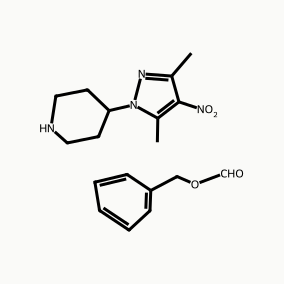 Cc1nn(C2CCNCC2)c(C)c1[N+](=O)[O-].O=COCc1ccccc1